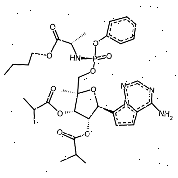 CCCCOC(=O)[C@H](C)N[P@@](=O)(OC[C@@]1(C)O[C@@H](c2ccc3c(N)ncnn23)[C@H](OC(=O)C(C)C)[C@@H]1OC(=O)C(C)C)Oc1ccccc1